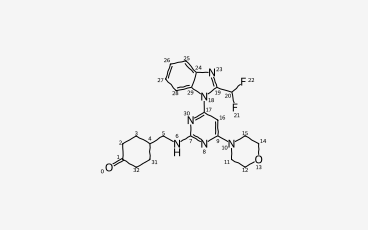 O=C1CCC(CNc2nc(N3CCOCC3)cc(-n3c(C(F)F)nc4ccccc43)n2)CC1